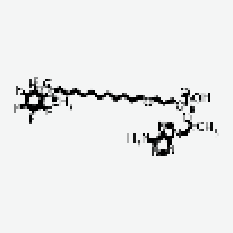 C[C@H](Cn1cnc2c(N)ncnc21)OCP(=O)(O)OCCCOCCCCCCCCCCCS(C)(C)c1c(F)c(F)c(F)c(F)c1F